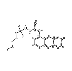 CCCCCC(C)(C)OOC(=O)Oc1cccc2cc3ccccc3cc12